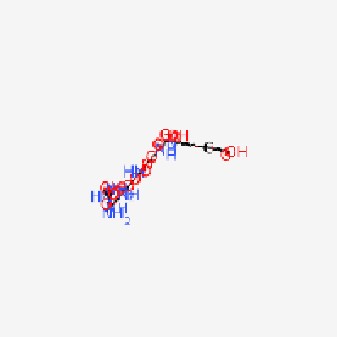 NCNC(CCCCNC(=O)COCCOCCNC(=O)COCCOCCNC(=O)CCC(NC(=O)CCCCCCCCCCCCCCCCC(=O)O)C(=O)O)C(=O)CN[C@H](CO)C(N)=O